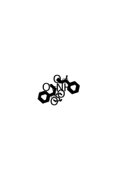 C[C@H](C(=O)N[C@H]1COc2ccccc2[C@@H]1S(C)(=O)=O)c1ccccc1